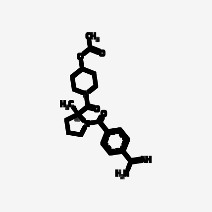 CC(=O)OC1CCN(C(=O)[C@@]2(C)CCCN2C(=O)c2ccc(C(=N)N)cc2)CC1